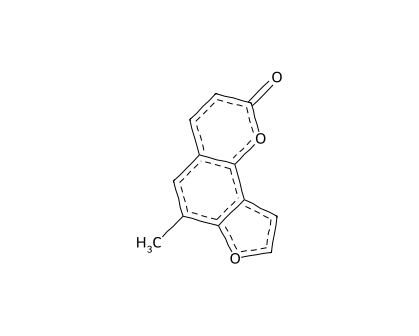 Cc1cc2ccc(=O)oc2c2ccoc12